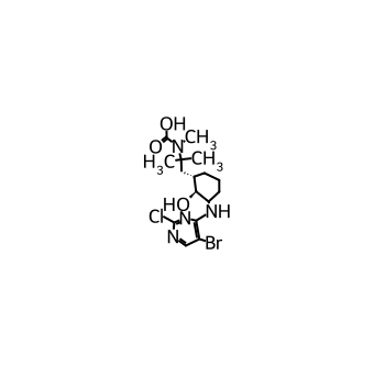 CN(C(=O)O)C(C)(C)C[C@@H]1CCC[C@H](Nc2nc(Cl)ncc2Br)[C@H]1O